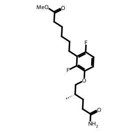 COC(=O)CCCCCc1c(F)ccc(OC[C@@H](C)CCC(N)=O)c1F